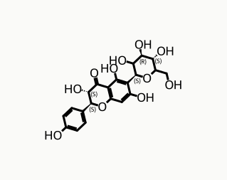 O=C1c2c(cc(O)c([C@@H]3OC(CO)[C@@H](O)[C@H](O)C3O)c2O)O[C@@H](c2ccc(O)cc2)[C@@H]1O